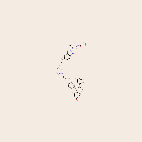 CC(C)(C)OC(=O)CC[C@@H](C(N)=O)N1Cc2cc(CCOC3CCCN(CCCOc4ccc([C@@H]5c6ccc(O)cc6CC[C@@H]5c5ccccc5)cc4)C3)ccc2C1=O